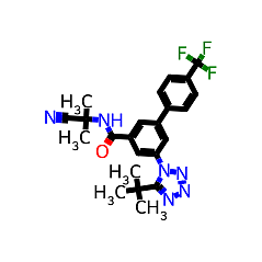 CC(C)(C#N)NC(=O)c1cc(-c2ccc(C(F)(F)F)cc2)cc(-n2nnnc2C(C)(C)C)c1